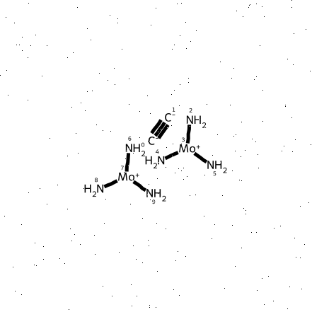 [C-]#[C-].[NH2][Mo+]([NH2])[NH2].[NH2][Mo+]([NH2])[NH2]